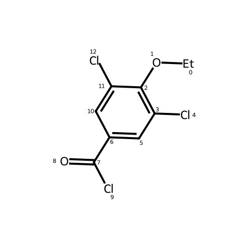 CCOc1c(Cl)cc(C(=O)Cl)cc1Cl